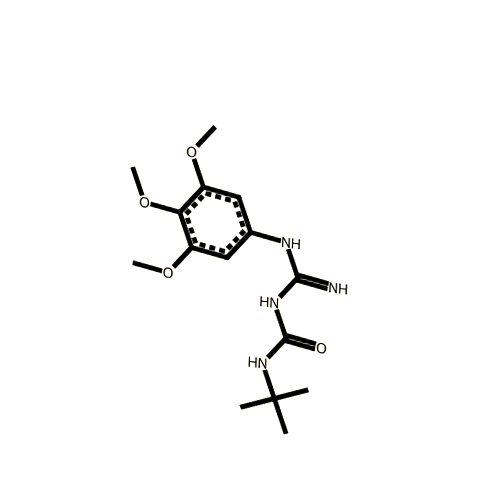 COc1cc(NC(=N)NC(=O)NC(C)(C)C)cc(OC)c1OC